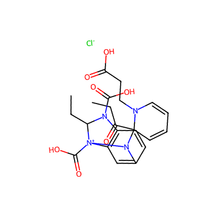 CCC(=O)C1(N2c3ccc4c(c3)[N+]2(C(=O)O)C(CC)N4C(=O)O)C=CC=CN1CCC(=O)O.[Cl-]